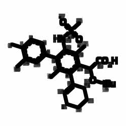 Cc1ccc(-c2c(C)c(C3=CCCCC3)c(C(OC(C)(C)C)C(=O)O)c(C)c2NS(C)(=O)=O)cc1C